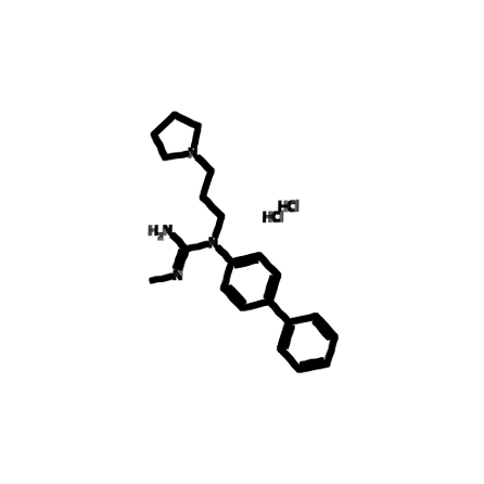 CN=C(N)N(CCCN1CCCC1)c1ccc(-c2ccccc2)cc1.Cl.Cl